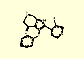 O=C1CNCc2[nH]c(-c3ccncc3F)c(Nc3ccccc3)c21